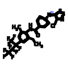 CCc1cc(C(F)(C(F)(F)F)C(F)(F)C(F)(F)F)cc(C)c1NC(=O)c1ccc(/N=c2/ssnc2Cl)cc1